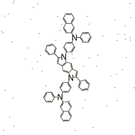 c1ccc(-c2cc3cc4c(cc(-c5ccccc5)n4-c4ccc(N(c5ccccc5)c5ccc6ccccc6c5)cc4)cc3n2-c2ccc(N(c3ccccc3)c3ccc4ccccc4c3)cc2)cc1